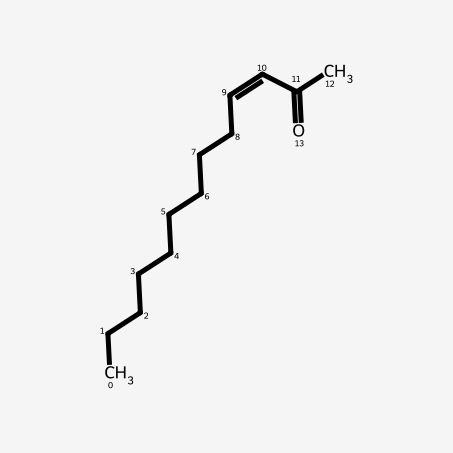 CCCCCCCCC/C=C\C(C)=O